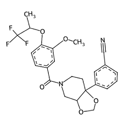 COc1cc(C(=O)N2CCC3(c4cccc(C#N)c4)OCOC3C2)ccc1OC(C)C(F)(F)F